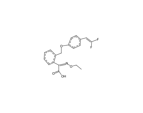 CCON=C(C(=O)O)c1ccccc1COc1ccc(C=C(F)F)cc1